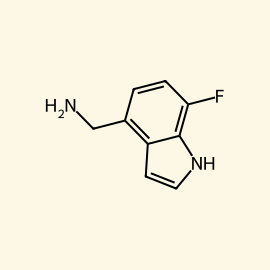 NCc1ccc(F)c2[nH]ccc12